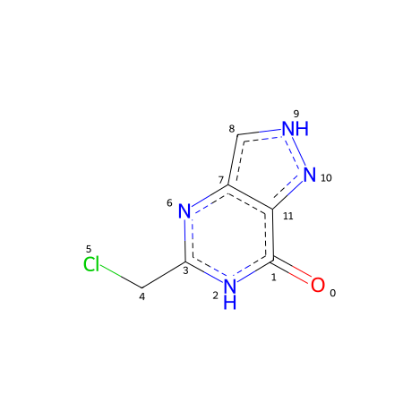 O=c1[nH]c(CCl)nc2c[nH]nc12